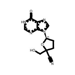 N#CC1(CO)CC[C@H](n2cnc3c(=O)[nH]cnc32)O1